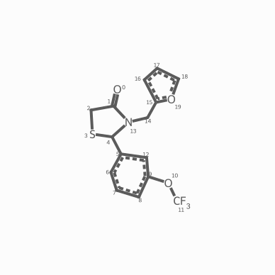 O=C1CSC(c2cccc(OC(F)(F)F)c2)N1Cc1ccco1